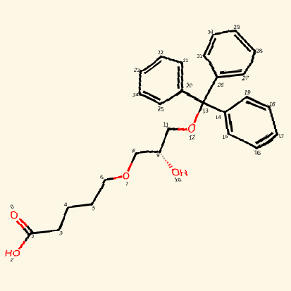 O=C(O)CCCCOC[C@@H](O)COC(c1ccccc1)(c1ccccc1)c1ccccc1